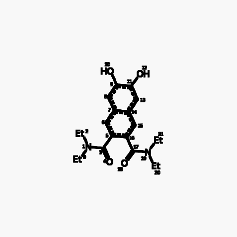 CCN(CC)C(=O)c1cc2cc(O)c(O)cc2cc1C(=O)N(CC)CC